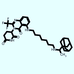 CC(NCCCCCCCNc1cccc2nc(C(F)(F)F)n(C3CCC(=O)NC3=O)c(=O)c12)C12CC3CC(CC(C3)C1)C2